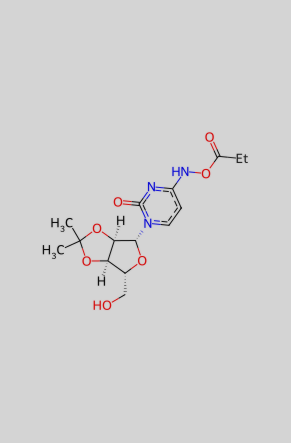 CCC(=O)ONc1ccn([C@@H]2O[C@H](CO)[C@H]3OC(C)(C)O[C@H]32)c(=O)n1